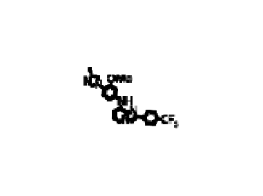 COc1cc(Nc2cccn3cc(-c4ccc(C(F)(F)F)cc4)nc23)ccc1-n1cnc(C)c1